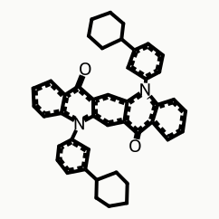 O=c1c2ccccc2n(-c2cccc(C3CCCCC3)c2)c2cc3c(=O)c4ccccc4n(-c4cccc(C5CCCCC5)c4)c3cc12